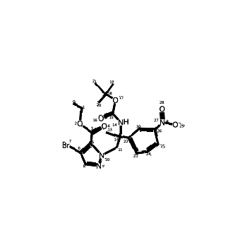 CCOC(=O)c1c(Br)cnn1CC(C)(NC(=O)OC(C)(C)C)c1cccc([N+](=O)[O-])c1